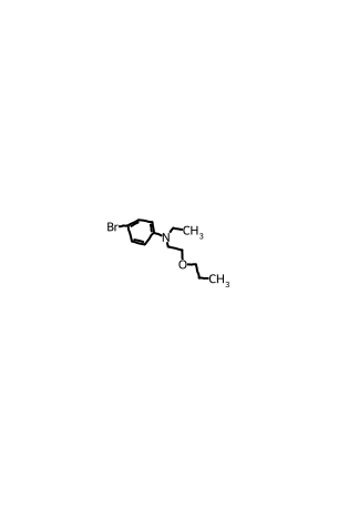 CCCOCCN(CC)c1ccc(Br)cc1